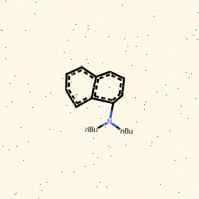 CCCCN(CCCC)c1cccc2[c]cccc12